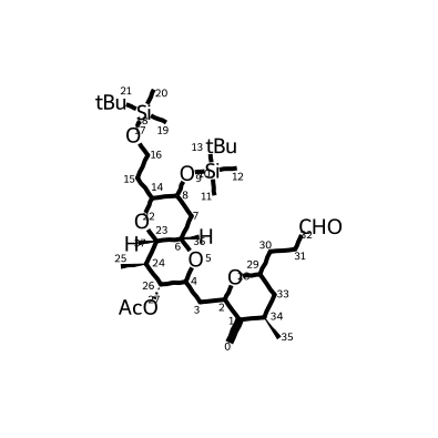 C=C1C(CC2O[C@H]3CC(O[Si](C)(C)C(C)(C)C)C(CCO[Si](C)(C)C(C)(C)C)O[C@H]3[C@H](C)[C@H]2OC(C)=O)OC(CCC=O)C[C@H]1C